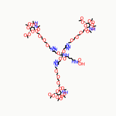 CC(=O)N[C@H]1[C@H](OCCOCCOCCOCCn2cc(COCC(COCc3cn(CCOCCOCCOCCO[C@@H]4O[C@H](COC(C)=O)[C@H](OC(C)=O)[C@H](OC(C)=O)[C@H]4NC(C)=O)nn3)(COCc3cn(CCOCCOCCOCCO[C@@H]4O[C@H](COC(C)=O)[C@H](OC(C)=O)[C@H](OC(C)=O)[C@H]4NC(C)=O)nn3)NC(=O)CCCCCNC(=O)O)nn2)O[C@H](COC(C)=O)[C@H](OC(C)=O)[C@@H]1OC(C)=O